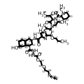 CCCO[C@H](C[C@H](C(C)C)N(CCC)C(=O)[C@@H](NC(=O)[C@H]1CCCCN1C)[C@@H](C)CC)c1nc(C(=O)N[C@H]2Cc3ccc(O)cc3[C@H](C(=O)NNC(=O)OCCOCCN=[N+]=[N-])C2)cs1